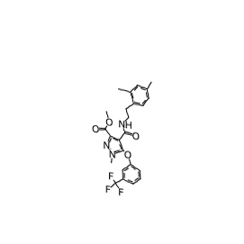 COC(=O)c1nn(C)c(Oc2cccc(C(F)(F)F)c2)c1C(=O)NCCc1ccc(C)cc1C